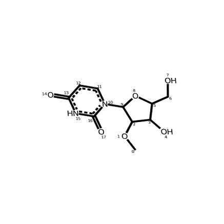 COC1C(O)C(CO)OC1n1ccc(=O)[nH]c1=O